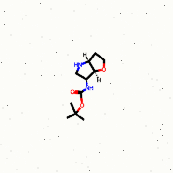 CC(C)(C)OC(=O)N[C@H]1CN[C@H]2CCO[C@H]21